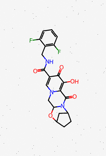 O=C(NCc1c(F)cccc1F)c1cn2c(c(O)c1=O)C(=O)N1C3CCC(C3)OC1C2